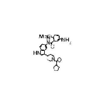 COc1ccc(N)cc1C(=O)Nc1ccc2[nH]cc(C3CCN(C(=O)C4CCCC4)CC3)c2c1